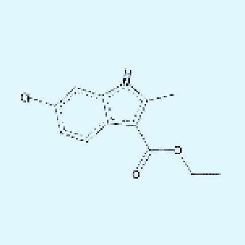 CCOC(=O)c1c(C)[nH]c2cc(Cl)ccc12